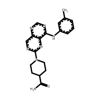 Cc1cccc(Nc2ncnc3cnc(N4CCC(C(N)=O)CC4)nc23)c1